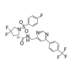 O=C(NCc1cc(-c2ccc(C(F)(F)F)cc2)ncn1)[C@@H]1CC(F)(F)CN1S(=O)(=O)c1ccc(F)cc1